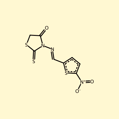 O=C1CSC(=S)N1N=Cc1ccc([N+](=O)[O-])s1